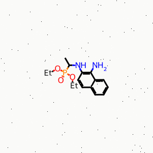 CCOP(=O)(OCC)C(C)Nc1ccc2ccccc2c1N